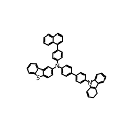 C1=Cc2c(c3ccccc3n2-c2ccc(-c3ccc(N(c4ccc(-c5cccc6ccccc56)cc4)c4ccc5sc6ccccc6c5c4)cc3)cc2)CC1